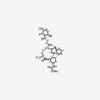 COC(=O)Nc1ccc2c(c1)NC(=O)[C@H](C)CCC[C@H](NCCC(=O)c1c(Br)ccc(Cl)c1F)c1cc-2c2ccccc2n1